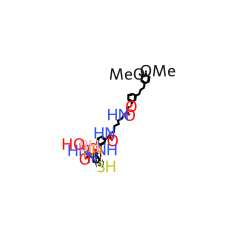 COc1ccc(CCCc2cccc(OCC(=O)NCCCCCNC(=O)c3cccc(NC(=O)[C@@H]4C[C@H](S)CN4C(=O)PNBO)c3)c2)cc1OC